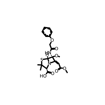 COC(=O)/C=C1\N2[C@@H](C(=O)O)C(C)(C)S[C@@H]2[C@@]1(NC(=O)COc1ccccc1)OC